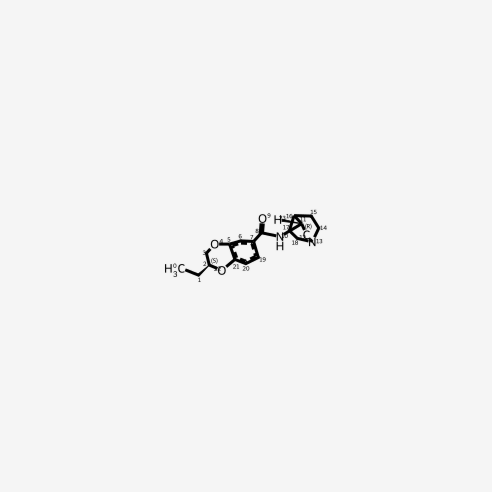 CC[C@H]1COc2cc(C(=O)N[C@H]3CN4CCC3CC4)ccc2O1